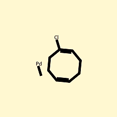 ClC1=CCCC=CCC1.[CH3][Pd]